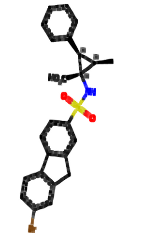 C[C@@H]1[C@H](c2ccccc2)[C@]1(NS(=O)(=O)c1ccc2c(c1)Cc1cc(Br)ccc1-2)C(=O)O